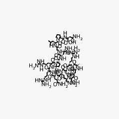 CC(C)C[C@H](NC(=O)CNC(=O)[C@H](CCC(N)=O)NC(=O)[C@@H]1CCCN1C(=O)[C@H](CCCNC(=N)N)NC(=O)[C@H](CCCNC(=N)N)NC(=O)[C@H](CCC(N)=O)NC(=O)[C@H](CCCCN)NC(=O)[C@H](CO)NC(=O)[C@H](CCCNC(=N)N)NC(=O)[C@H](C)NC(=O)CNC(=O)[C@@H](N)CO)C(=O)N1CCC[C@H]1C(=O)N[C@@H](CC(N)=O)C(=O)O